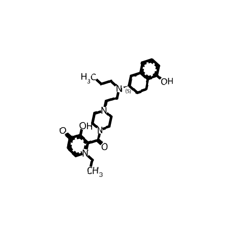 CCCN(CCN1CCN(C(=O)c2c(O)c(=O)ccn2CC)CC1)[C@H]1CCc2c(O)cccc2C1